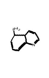 NC1C=CC=C2N=CC=CC21